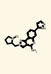 CCN1CCCC1Cn1cc2c(N)nc3cc(-c4ccn[nH]4)ccc3c2n1